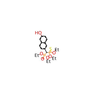 CCOP(=O)(OCC)C(c1ccc2cc(O)ccc2c1)P(=S)(OCC)OCC